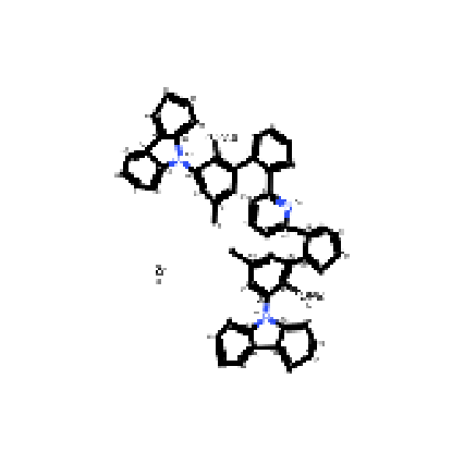 COc1c(-c2ccccc2-c2cccc(-c3ccccc3-c3cc(C)cc(-n4c5ccccc5c5ccccc54)c3OC)n2)cc(C)cc1-n1c2ccccc2c2ccccc21.[Zr]